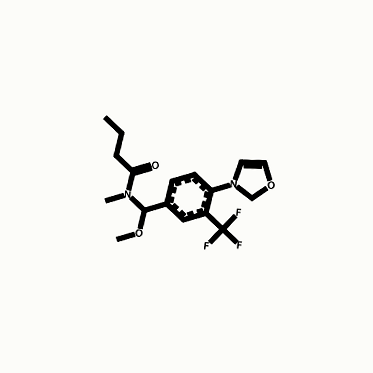 CCCC(=O)N(C)C(OC)c1ccc(N2C=COC2)c(C(F)(F)F)c1